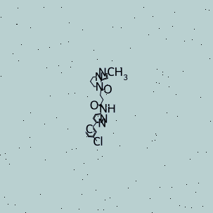 Cc1cc2n(n1)CCCN2C(=O)CCC(=O)Nc1ccc(-c2cccc(Cl)c2)nn1